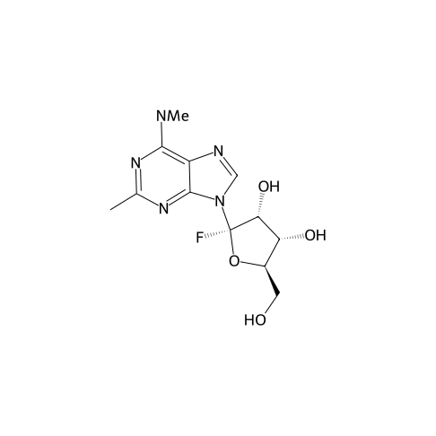 CNc1nc(C)nc2c1ncn2[C@]1(F)O[C@H](CO)[C@@H](O)[C@H]1O